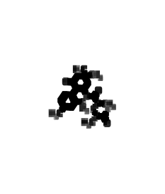 Cc1ccc(C2=C(OC(=O)N(C)SN(C)C(=O)F)CC(C)(C)CC2=O)c(C)c1